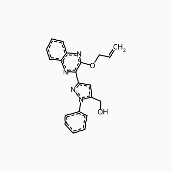 C=CCOc1nc2ccccc2nc1-c1cc(CO)n(-c2ccccc2)n1